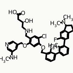 CNc1cncc(COc2cc(OCc3cccc(-c4cccc(-c5cc6c(cc5F)C(N(C)C)CC6)c4C)c3C)c(Cl)cc2CNC[C@@H](O)CC(=O)O)c1